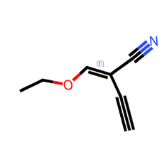 C#C/C(C#N)=C\OCC